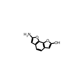 Nc1cc2ccc3cc(O)oc3c2o1